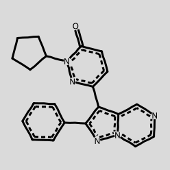 O=c1ccc(-c2c(-c3ccccc3)nn3ccncc23)nn1C1CCCC1